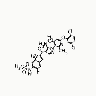 Cc1cc(Oc2cc(Cl)ccc2Cl)nc(C)c1-n1ncc(C(=O)c2cc3cc(F)c(NS(C)(=O)=O)cc3[nH]2)c1N